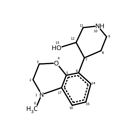 CN1CCOc2c(C3CCNCC3O)cccc21